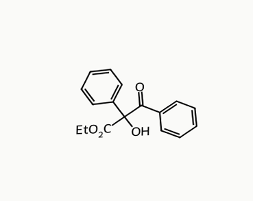 CCOC(=O)C(O)(C(=O)c1ccccc1)c1ccccc1